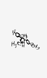 COc1ccc([C@@H]2CC(O)(c3ccc(C(F)(F)F)cc3)C[C@H](C)N2)c(F)c1